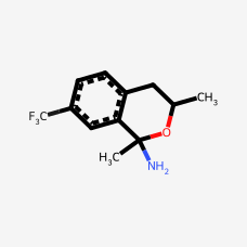 CC1Cc2ccc(C(F)(F)F)cc2C(C)(N)O1